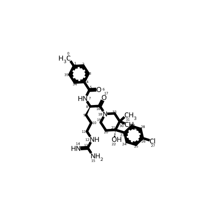 Cc1ccc(C(=O)N[C@H](CCCNC(=N)N)C(=O)N2CC[C@](O)(c3ccc(Cl)cc3)C(C)(C)C2)cc1